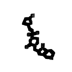 O=C1CN(S(=O)(=O)C=Cc2ccc(Cl)s2)CCN1Cc1cc2cnccc2[nH]1